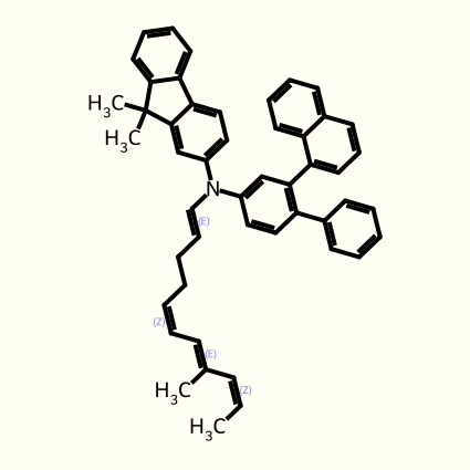 C\C=C/C(C)=C/C=C\CC/C=C/N(c1ccc(-c2ccccc2)c(-c2cccc3ccccc23)c1)c1ccc2c(c1)C(C)(C)c1ccccc1-2